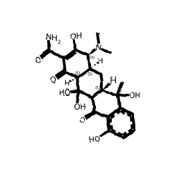 CN(C)[C@@H]1C(O)=C(C(N)=O)C(=O)[C@H]2[C@@H]1C[C@H]1C(C(=O)c3c(O)cccc3C1(C)O)C2(O)O